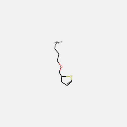 CCCCCCCCOCC1CC=CS1